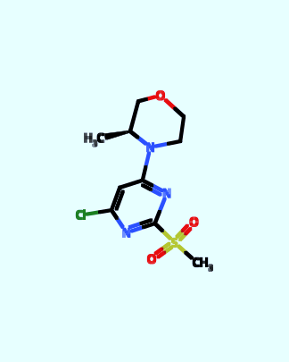 C[C@H]1COCCN1c1cc(Cl)nc(S(C)(=O)=O)n1